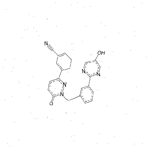 N#CC1=CCCC(c2ccc(=O)n(Cc3cccc(-c4ncc(O)cn4)c3)n2)=C1